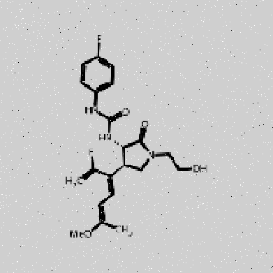 C=C(F)/C(=C\C=C(/C)OC)[C@@H]1CN(CCO)C(=O)[C@H]1NC(=O)Nc1ccc(F)cc1